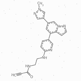 C#CC(=O)NCCNc1ccc(-c2cc(-c3cnn(C)c3)cn3nccc23)cn1